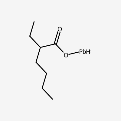 CCCCC(CC)C(=O)[O][PbH]